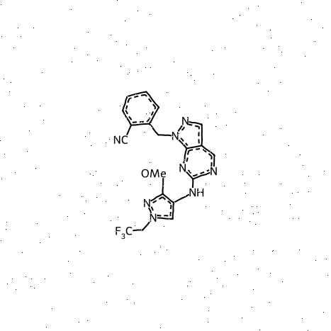 COc1nn(CC(F)(F)F)cc1Nc1ncc2cnn(Cc3ccccc3C#N)c2n1